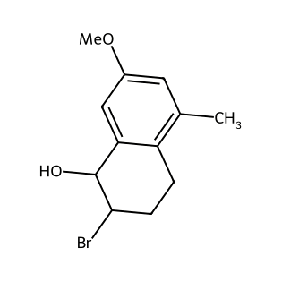 COc1cc(C)c2c(c1)C(O)C(Br)CC2